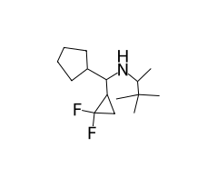 CC(NC(C1CCCC1)C1CC1(F)F)C(C)(C)C